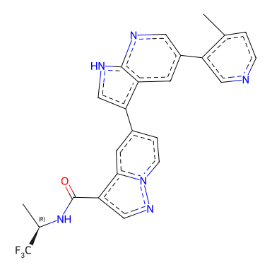 Cc1ccncc1-c1cnc2[nH]cc(-c3ccn4ncc(C(=O)N[C@H](C)C(F)(F)F)c4c3)c2c1